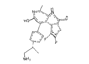 Cc1nc(O)c(-c2ccc(C(C)CN)cc2)c2c1[nH]c(=O)c1sc(F)c(F)c12